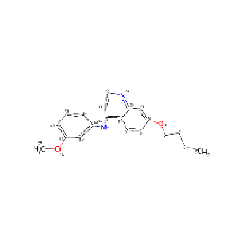 CCCCOc1ccc2c(Nc3cccc(OC)c3)ccnc2c1